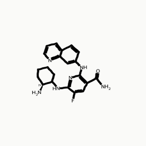 NC(=O)c1cc(F)c(NC2CCCC[C@@H]2N)nc1Nc1ccc2cccnc2c1